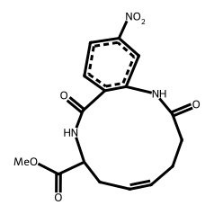 COC(=O)C1CC=CCCC(=O)Nc2cc([N+](=O)[O-])ccc2C(=O)N1